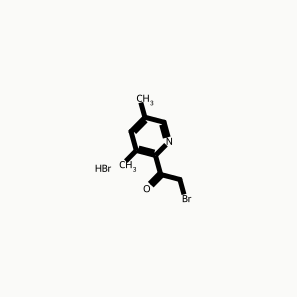 Br.Cc1cnc(C(=O)CBr)c(C)c1